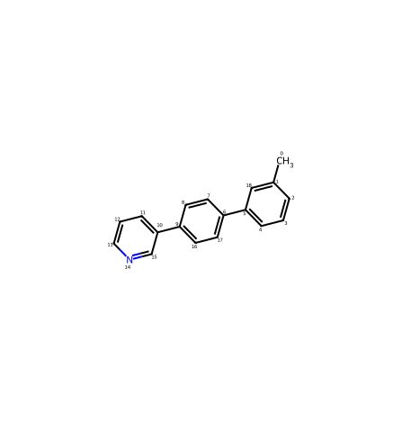 Cc1cccc(-c2ccc(-c3cccnc3)cc2)c1